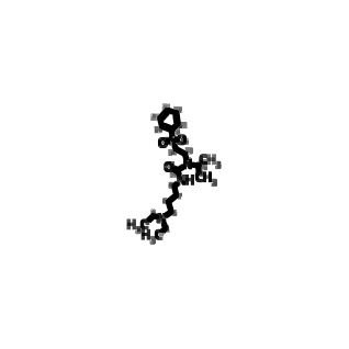 CCN(CC)CCCCNC(=O)N(CCS(=O)(=O)c1ccccc1)C(C)C